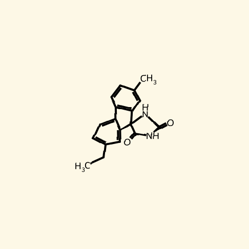 CCc1ccc2c(c1)C1(NC(=O)NC1=O)c1cc(C)ccc1-2